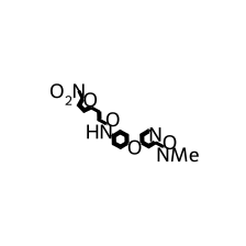 CNC(=O)c1cc(Oc2ccc(NC(=O)/C=C/c3ccc([N+](=O)[O-])o3)cc2)ccn1